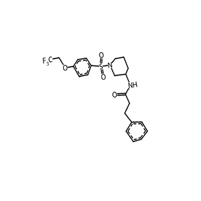 O=C(CCc1ccccc1)NC1CCCN(S(=O)(=O)c2ccc(OCC(F)(F)F)cc2)C1